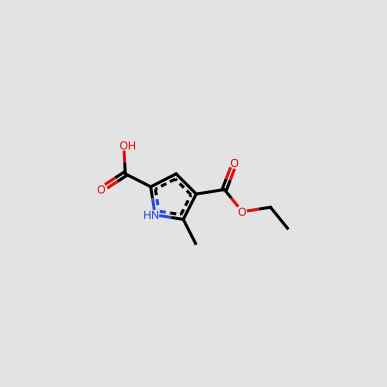 CCOC(=O)c1cc(C(=O)O)[nH]c1C